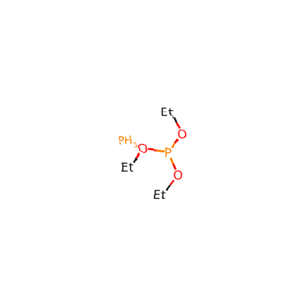 CCOP(OCC)OCC.P